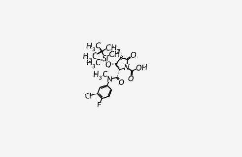 CN(C(=O)[C@@H]1[C@H](O[Si](C)(C)C(C)(C)C)CC(=O)N1C(=O)O)c1ccc(F)c(Cl)c1